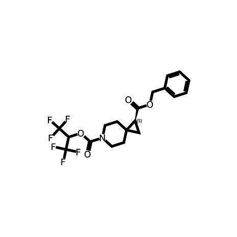 O=C(OCc1ccccc1)[C@H]1CC12CCN(C(=O)OC(C(F)(F)F)C(F)(F)F)CC2